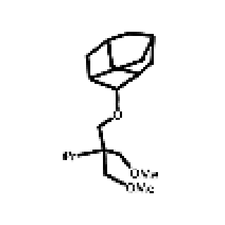 COCC(COC)(COC1C2CC3CC(C2)CC1C3)C(C)C